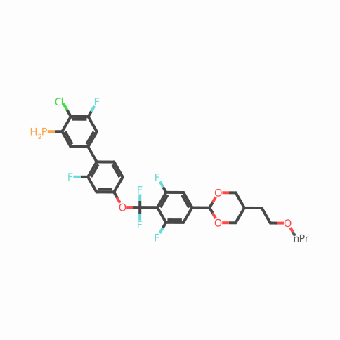 CCCOCCC1COC(c2cc(F)c(C(F)(F)Oc3ccc(-c4cc(F)c(Cl)c(P)c4)c(F)c3)c(F)c2)OC1